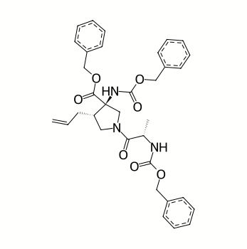 C=CC[C@H]1CN(C(=O)[C@H](C)NC(=O)OCc2ccccc2)C[C@@]1(NC(=O)OCc1ccccc1)C(=O)OCc1ccccc1